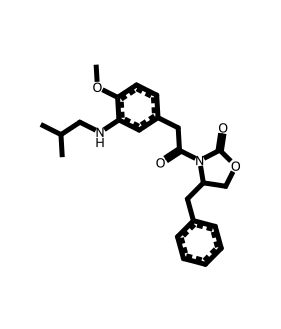 COc1ccc(CC(=O)N2C(=O)OCC2Cc2ccccc2)cc1NCC(C)C